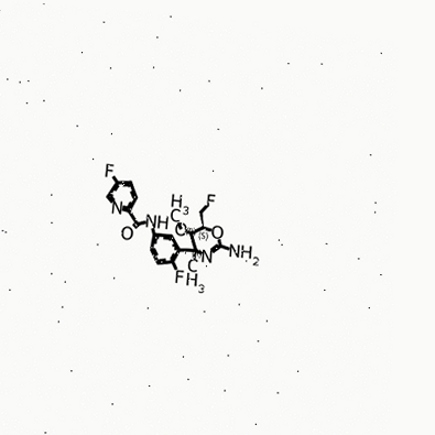 CO[C@H]1[C@@H](CF)OC(N)=N[C@]1(C)c1cc(NC(=O)c2ccc(F)cn2)ccc1F